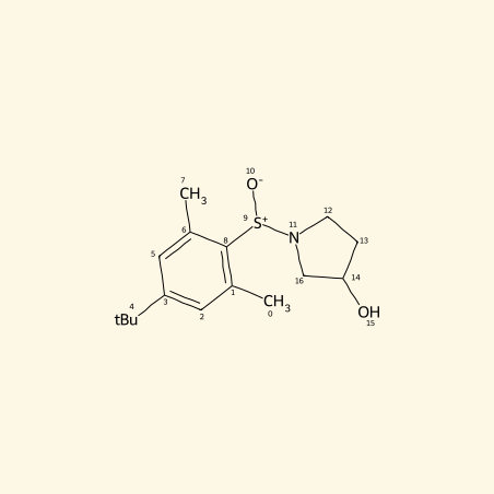 Cc1cc(C(C)(C)C)cc(C)c1[S+]([O-])N1CCC(O)C1